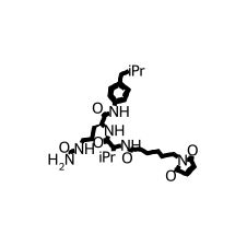 CC(C)Cc1ccc(NC(=O)[C@H](CCCNC(N)=O)NC(=O)C(NC(=O)CCCCCN2C(=O)C=CC2=O)C(C)C)cc1